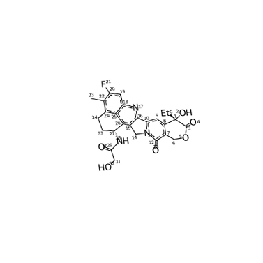 CC[C@@]1(O)C(=O)OCc2c1cc1n(c2=O)Cc2c-1nc1cc(F)c(C)c3c1c2[C@H](NC(=O)CO)CC3